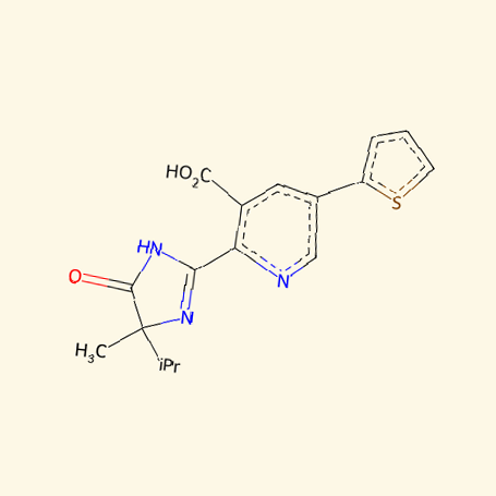 CC(C)C1(C)N=C(c2ncc(-c3cccs3)cc2C(=O)O)NC1=O